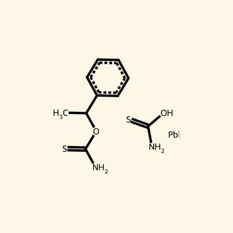 CC(OC(N)=S)c1ccccc1.NC(O)=S.[Pb]